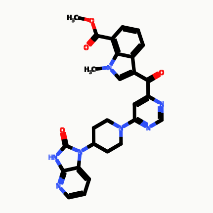 COC(=O)c1cccc2c(C(=O)c3cc(N4CCC(n5c(=O)[nH]c6ncccc65)CC4)ncn3)cn(C)c12